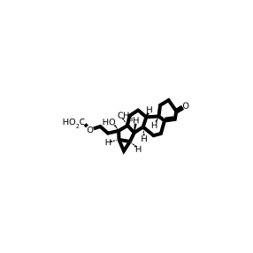 C[C@]12CC[C@H]3[C@@H](CCC4=CC(=O)CC[C@@H]43)[C@@H]1[C@H]1C[C@H]1[C@@]2(O)CCOC(=O)O